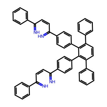 N=C(/C=C\C(=N)c1ccc(-c2c(-c3ccccc3)ccc(-c3ccccc3)c2-c2ccc(C(=N)/C=C\C(=N)c3ccccc3)cc2)cc1)c1ccccc1